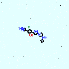 Oc1cc(-c2cn[nH]c2)c(F)cc1-c1ccc(N2CCC(NC3CCC3)C2)nn1